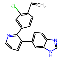 C=Cc1ccc(-c2ncccc2-c2ccc3nc[nH]c3c2)cc1Cl